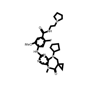 COc1cc(C(=O)NCCN2CCCC2)c(F)cc1Nc1ncc2c(n1)N(C1CCCC1)CC1(CC1)C(=O)N2C